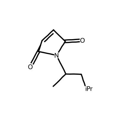 CC(C)CC(C)N1C(=O)C=CC1=O